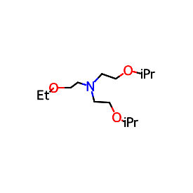 CCOCCN(CCOC(C)C)CCOC(C)C